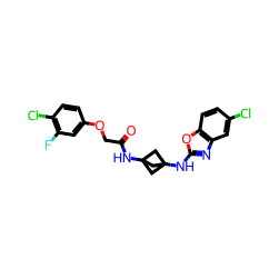 O=C(COc1ccc(Cl)c(F)c1)NC12CC(Nc3nc4cc(Cl)ccc4o3)(C1)C2